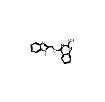 Oc1nc(OCc2nc3ccccc3[nH]2)c2ccccc2n1